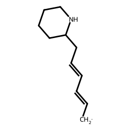 [CH2]C=CC=CCC1CCCCN1